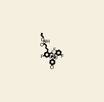 C=CCONC(=O)CCCc1cc(F)ccc1[C@@H](C)N(c1cc(F)ccc1F)S(=O)(=O)c1ccc(Cl)cc1